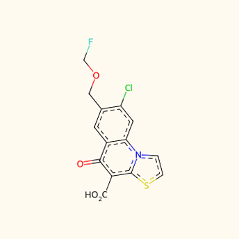 O=C(O)c1c(=O)c2cc(COCF)c(Cl)cc2n2ccsc12